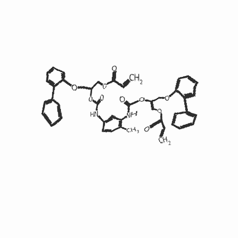 C=CC(=O)OCC(COc1ccccc1-c1ccccc1)OC(=O)Nc1ccc(C)c(NC(=O)OC(COC(=O)C=C)COc2ccccc2-c2ccccc2)c1